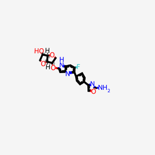 Nc1nc(-c2ccc(-c3nc4cc(O[C@@H]5CO[C@H]6[C@@H]5OC[C@H]6O)[nH]c4cc3F)cc2)co1